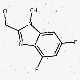 Cn1c(CCl)nc2c(F)cc(F)cc21